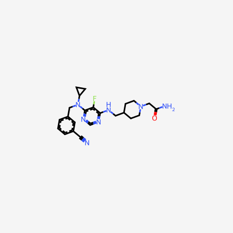 N#Cc1cccc(CN(c2ncnc(NCC3CCN(CC(N)=O)CC3)c2F)C2CC2)c1